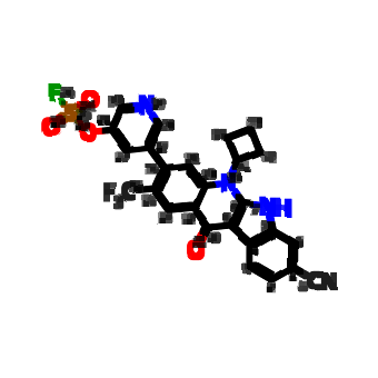 N#Cc1ccc2c(c1)[nH]c1c2c(=O)c2cc(C(F)(F)F)c(-c3cncc(OS(=O)(=O)F)c3)cc2n1C1CCC1